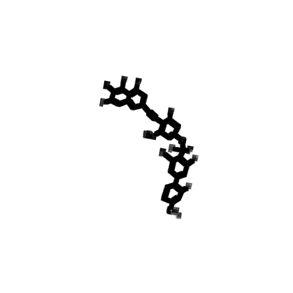 Cc1ccc(-c2cc(F)c(C(F)(F)Oc3cc(F)c(C#Cc4cc(F)c5c(F)c(F)c(F)cc5c4)c(C(C)(C)C)c3)c(F)c2)c(F)c1